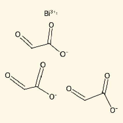 O=CC(=O)[O-].O=CC(=O)[O-].O=CC(=O)[O-].[Bi+3]